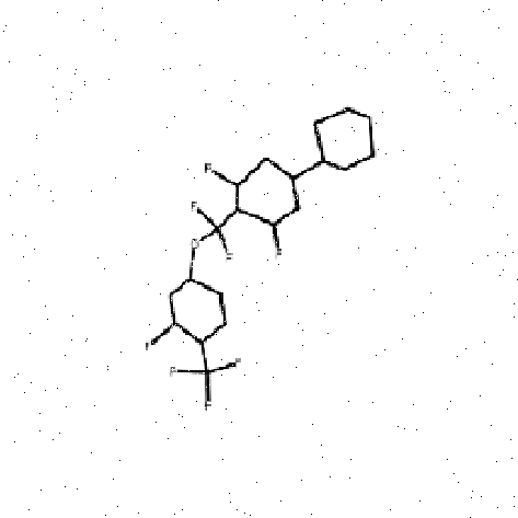 FC1CC(OC(F)(F)C2C(F)CC(C3CCCCC3)CC2F)CCC1C(F)(F)F